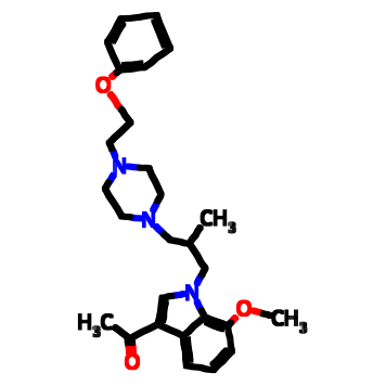 COc1cccc2c(C(C)=O)cn(CC(C)CN3CCN(CCOc4ccccc4)CC3)c12